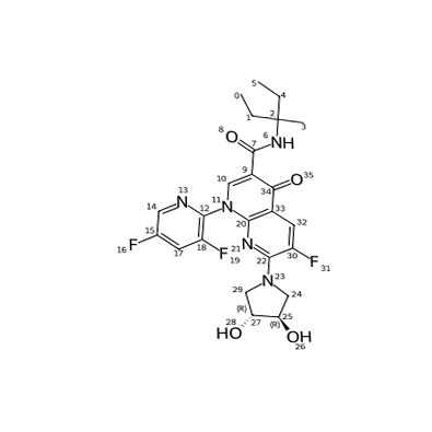 CCC(C)(CC)NC(=O)c1cn(-c2ncc(F)cc2F)c2nc(N3C[C@@H](O)[C@H](O)C3)c(F)cc2c1=O